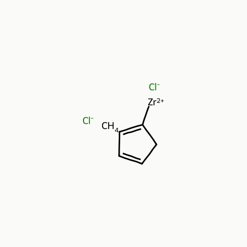 C.[Cl-].[Cl-].[Zr+2][C]1=CC=CC1